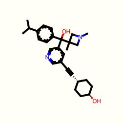 CC(C)c1ccc(C(O)(c2cncc(C#C[C@H]3CC[C@H](O)CC3)c2)C2(C)CN(C)C2)cc1